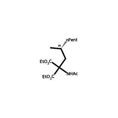 CCCCC[C@@H](C)CC(NC(C)=O)(C(=O)OCC)C(=O)OCC